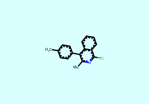 Cc1ccc(-c2c(C(C)(C)C)nc(Cl)c3ccccc23)cc1